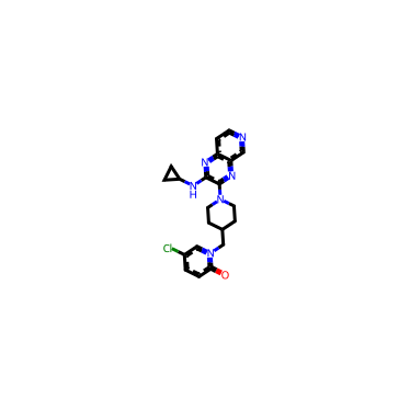 O=c1ccc(Cl)cn1CC1CCN(c2nc3cnccc3nc2NC2CC2)CC1